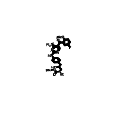 CCN(CC(O)Cc1ccc(Nc2ncc(C(=O)c3cc(F)ccc3OC)c(N)n2)cc1)C(=O)OC(C)(C)C